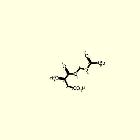 C=C(CC(=O)O)C(=O)OCOC(=O)C(C)(C)C